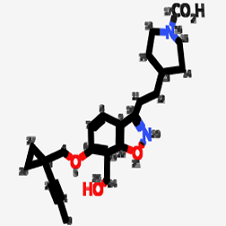 CC#CC1(COc2ccc3c(CCC4CCN(C(=O)O)CC4)noc3c2CO)CC1